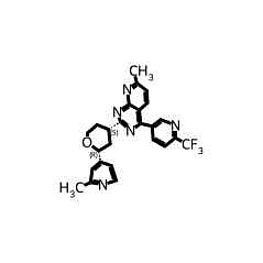 Cc1cc([C@H]2C[C@@H](c3nc(-c4ccc(C(F)(F)F)nc4)c4ccc(C)nc4n3)CCO2)ccn1